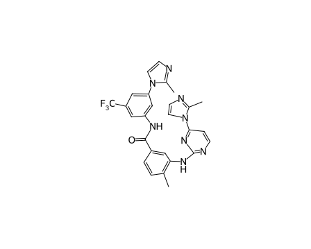 Cc1ccc(C(=O)Nc2cc(-n3ccnc3C)cc(C(F)(F)F)c2)cc1Nc1nccc(-n2ccnc2C)n1